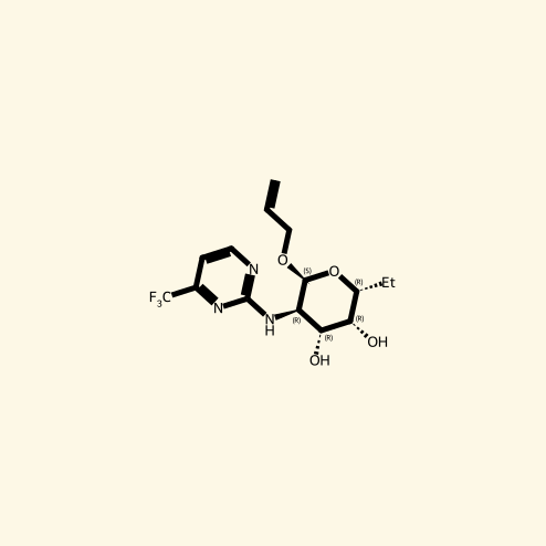 C=CCO[C@H]1O[C@H](CC)[C@H](O)[C@H](O)[C@H]1Nc1nccc(C(F)(F)F)n1